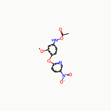 COc1cc(NOC(C)=O)ccc1Oc1ccc([N+](=O)[O-])cn1